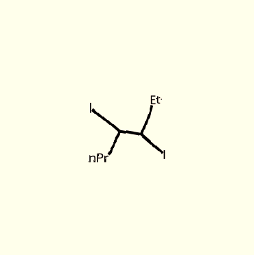 C[CH]C(I)C(I)CCC